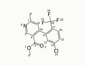 COC(=O)c1cnc(C)cc1-c1cc(Cl)ccc1C(F)(F)F